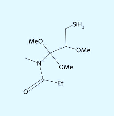 CCC(=O)N(C)C(OC)(OC)C(C[SiH3])OC